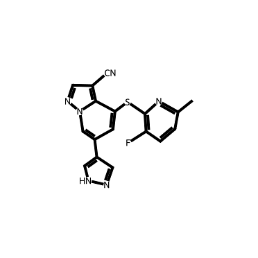 Cc1ccc(F)c(Sc2cc(-c3cn[nH]c3)cn3ncc(C#N)c23)n1